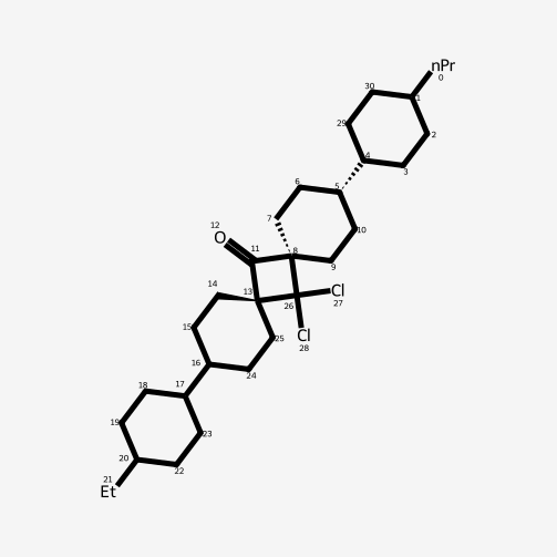 CCCC1CCC([C@H]2CC[C@@]3(CC2)C(=O)[C@]2(CCC(C4CCC(CC)CC4)CC2)C3(Cl)Cl)CC1